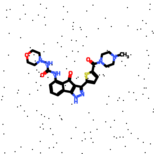 CN1CCN(C(=O)c2ccc(-c3n[nH]c4c3C(=O)c3c(NC(=O)NN5CCOCC5)cccc3-4)s2)CC1